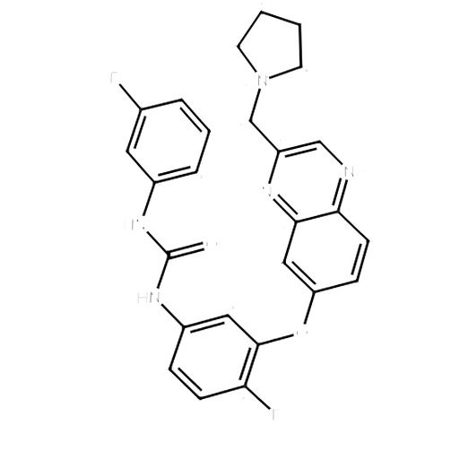 O=C(Nc1cccc(F)c1)Nc1ccc(F)c(Oc2ccc3ncc(CN4CCCC4)nc3c2)c1